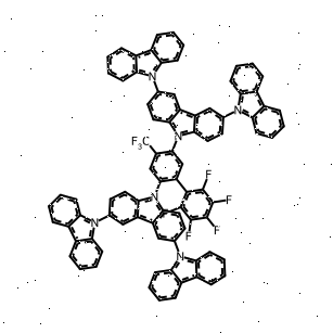 Fc1c(F)c(F)c(-c2cc(-n3c4ccc(-n5c6ccccc6c6ccccc65)cc4c4cc(-n5c6ccccc6c6ccccc65)ccc43)c(C(F)(F)F)cc2-n2c3ccc(-n4c5ccccc5c5ccccc54)cc3c3cc(-n4c5ccccc5c5ccccc54)ccc32)c(F)c1F